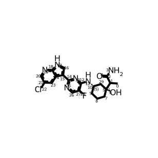 CC(C(N)=O)[C@]1(O)CCC[C@H](Nc2nc(-c3c[nH]c4ncc(Cl)cc34)ncc2F)C1